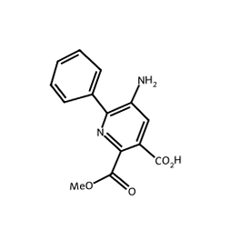 COC(=O)c1nc(-c2ccccc2)c(N)cc1C(=O)O